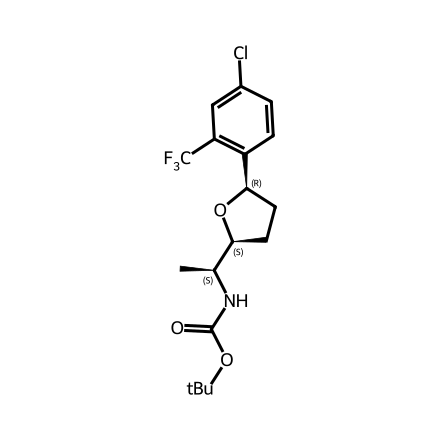 C[C@H](NC(=O)OC(C)(C)C)[C@@H]1CC[C@H](c2ccc(Cl)cc2C(F)(F)F)O1